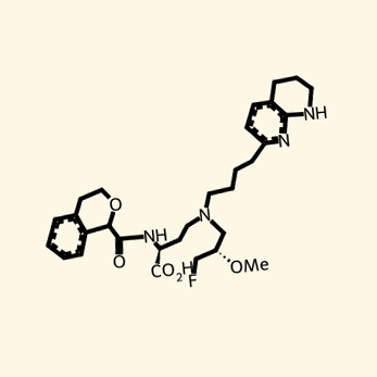 CO[C@H](CF)CN(CCCCc1ccc2c(n1)NCCC2)CC[C@H](NC(=O)C1OCCc2ccccc21)C(=O)O